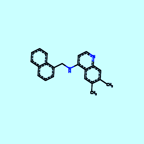 Cc1cc2nccc(NCc3cccc4ccccc34)c2cc1C